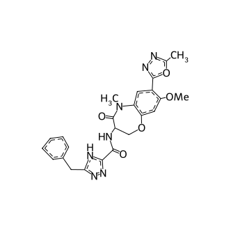 COc1cc2c(cc1-c1nnc(C)o1)N(C)C(=O)C(NC(=O)c1nnc(Cc3ccccc3)[nH]1)CO2